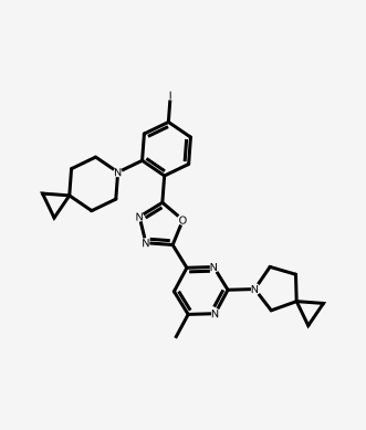 Cc1cc(-c2nnc(-c3ccc(I)cc3N3CCC4(CC3)CC4)o2)nc(N2CCC3(CC3)C2)n1